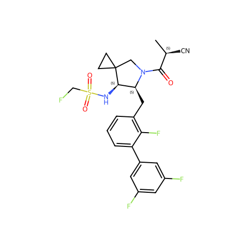 C[C@@H](C#N)C(=O)N1CC2(CC2)[C@H](NS(=O)(=O)CF)[C@@H]1Cc1cccc(-c2cc(F)cc(F)c2)c1F